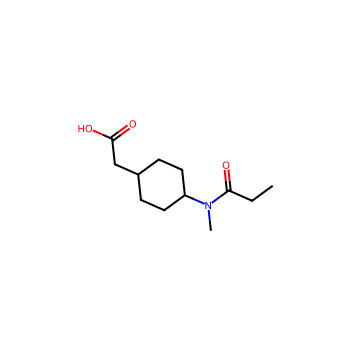 CCC(=O)N(C)C1CCC(CC(=O)O)CC1